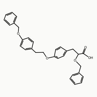 O=C(O)C(Cc1ccc(OCCc2ccc(OCc3ccccc3)cc2)cc1)OCc1ccccc1